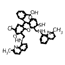 Cc1ccc2cccc(NCc3c4oc5c(CNc6cccc7ccc(C)nc67)c(S)ccc5c(-c5ccccc5C(=O)O)c-4cc(Cl)c3=O)c2n1